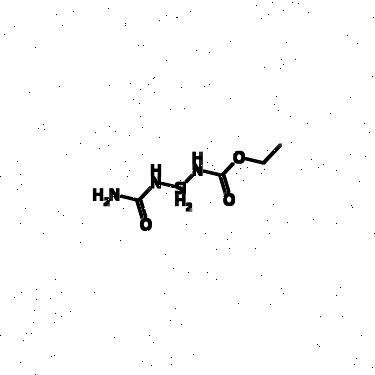 CCOC(=O)N[SiH2]NC(N)=O